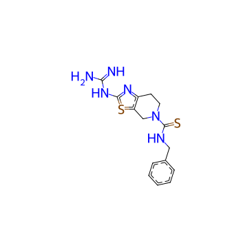 N=C(N)Nc1nc2c(s1)CN(C(=S)NCc1ccccc1)CC2